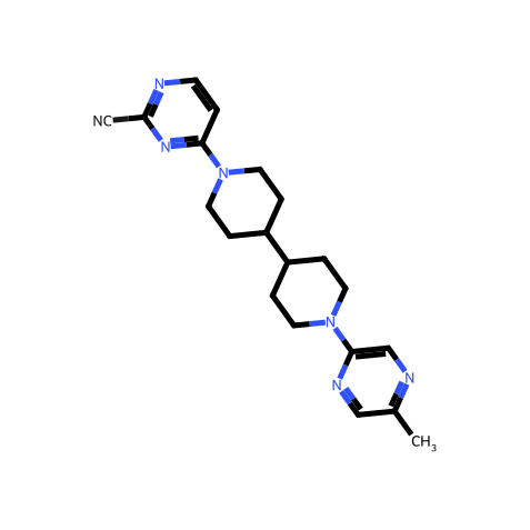 Cc1cnc(N2CCC(C3CCN(c4ccnc(C#N)n4)CC3)CC2)cn1